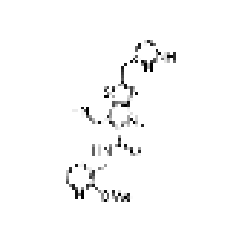 COc1ncccc1CNC(=O)c1c(C=N)c2sc(Cc3cc[nH]n3)nc2n1C